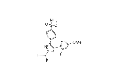 COc1ccc(-c2cc(C(F)F)nn2-c2ccc(S(N)(=O)=O)cc2)c(F)c1